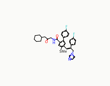 CSc1cc(C(=O)NCC(=O)CC2CCCCC2)c(-c2ccc(F)cc2)cc1/C=C(/Cn1ccnc1)c1ccc(F)cc1